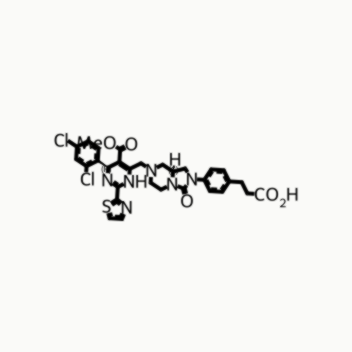 COC(=O)C1=C(CN2CCN3C(=O)N(c4ccc(CCC(=O)O)cc4)C[C@@H]3C2)NC(c2nccs2)=N[C@H]1c1ccc(Cl)cc1Cl